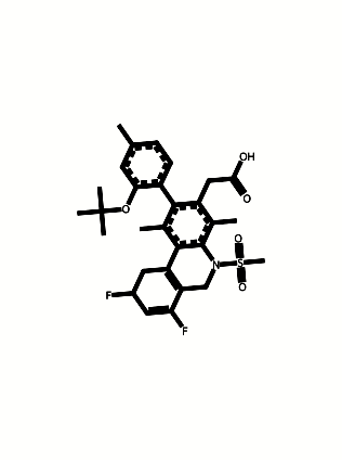 Cc1ccc(-c2c(C)c3c(c(C)c2CC(=O)O)N(S(C)(=O)=O)CC2=C3CC(F)C=C2F)c(OC(C)(C)C)c1